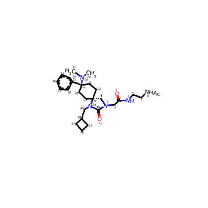 CC(=O)NCCNC(=O)CN1C[C@]2(CC[C@](c3ccccc3)(N(C)C)CC2)N(CC2CCC2)C1=O